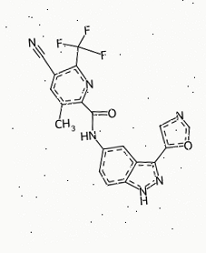 Cc1cc(C#N)c(C(F)(F)F)nc1C(=O)Nc1ccc2[nH]nc(-c3cnco3)c2c1